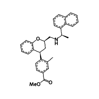 COC(=O)c1ccc([C@@H]2C[C@H](CN[C@H](C)c3cccc4ccccc34)Oc3ccccc32)c(C)c1